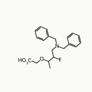 CC(OCC(=O)O)C(F)CN(Cc1ccccc1)Cc1ccccc1